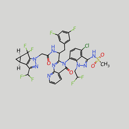 CS(=O)(=O)Nc1nn(CC(F)F)c2c(-n3c(C(Cc4cc(F)cc(F)c4)NC(=O)Cn4nc(C(F)F)c5c4C(F)(F)[C@@H]4C[C@H]54)nc4ncccc4c3=O)ccc(Cl)c12